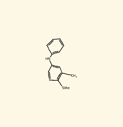 CSc1ccc(Nc2ccccc2)cc1C